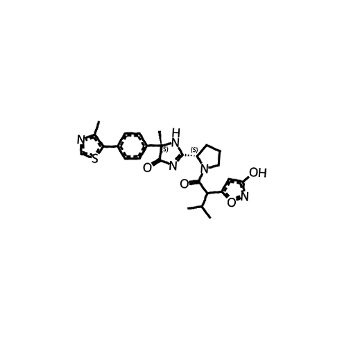 Cc1ncsc1-c1ccc([C@]2(C)NC([C@@H]3CCCN3C(=O)C(c3cc(O)no3)C(C)C)=NC2=O)cc1